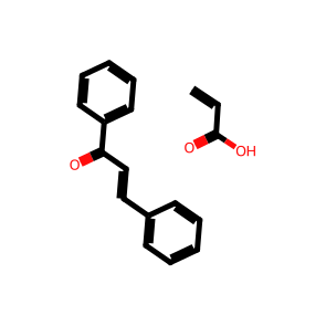 C=CC(=O)O.O=C(C=Cc1ccccc1)c1ccccc1